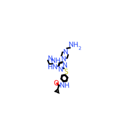 NCCN1CCN(c2cc(NC3CC=NN3)nc(Sc3ccc(NC(=O)C4CC4)cc3)n2)CC1